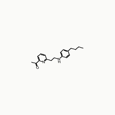 CCCCc1ccc(NCCc2cccc(C(C)=O)n2)cc1